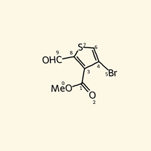 COC(=O)c1c(Br)csc1C=O